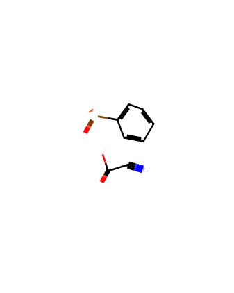 N#CC(=O)O.O=[SH](=O)c1ccccc1